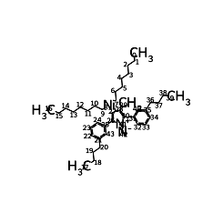 CCCCCCC[CH2][Ni][CH2]CCCCCCC.CCCCc1cccc(C2=CC(C)=C(c3cccc(CCCC)c3)[N+]2=[N-])c1